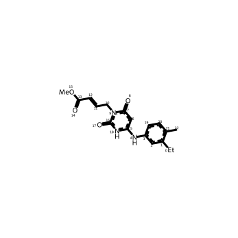 CCc1cc(Nc2cc(=O)n(C/C=C/C(=O)OC)c(=O)[nH]2)ccc1C